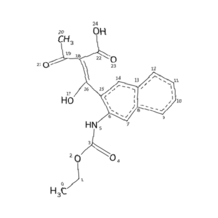 CCOC(=O)Nc1cc2ccccc2cc1C(O)=C(C(C)=O)C(=O)O